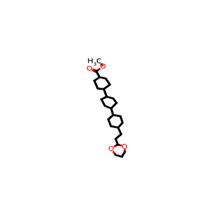 COC(=O)C1CCC(C2CCC(C3CCC(CCC4OCCCO4)CC3)CC2)CC1